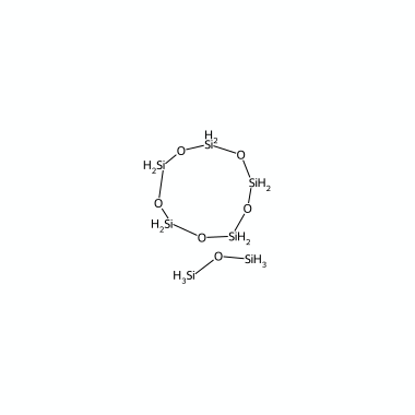 O1[SiH2]O[SiH2]O[SiH2]O[SiH2]O[SiH2]1.[SiH3]O[SiH3]